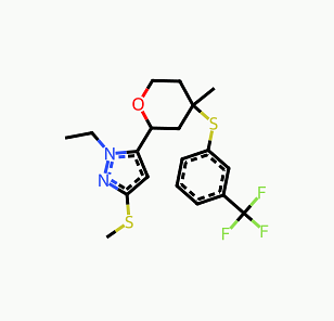 CCn1nc(SC)cc1C1CC(C)(Sc2cccc(C(F)(F)F)c2)CCO1